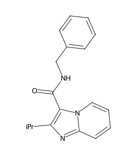 CC(C)c1nc2ccccn2c1C(=O)NCc1ccccc1